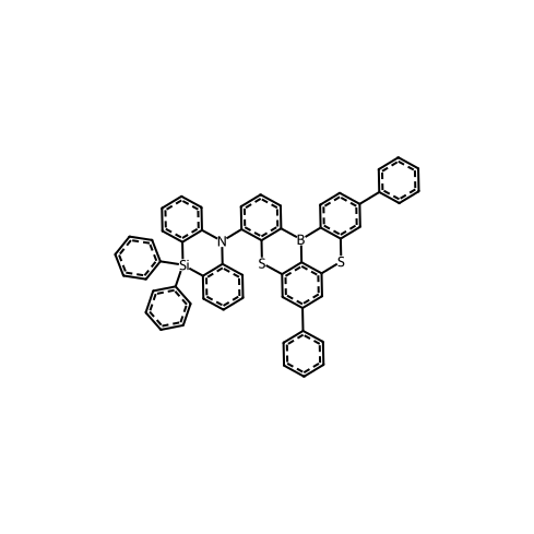 c1ccc(-c2ccc3c(c2)Sc2cc(-c4ccccc4)cc4c2B3c2cccc(N3c5ccccc5[Si](c5ccccc5)(c5ccccc5)c5ccccc53)c2S4)cc1